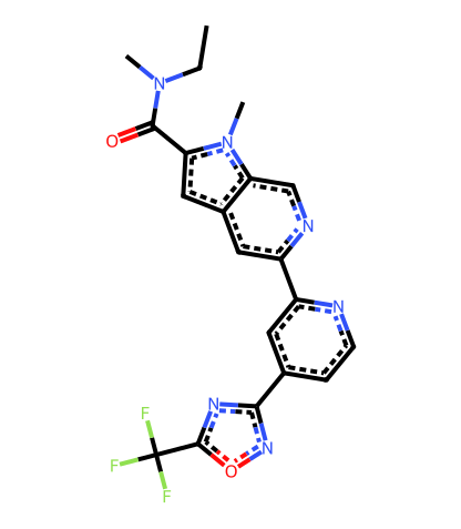 CCN(C)C(=O)c1cc2cc(-c3cc(-c4noc(C(F)(F)F)n4)ccn3)ncc2n1C